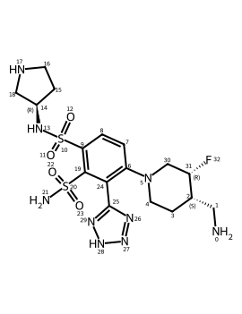 NC[C@@H]1CCN(c2ccc(S(=O)(=O)N[C@@H]3CCNC3)c(S(N)(=O)=O)c2-c2nn[nH]n2)C[C@@H]1F